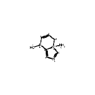 N[N+]12C=NC=C1N(O)C=CC2